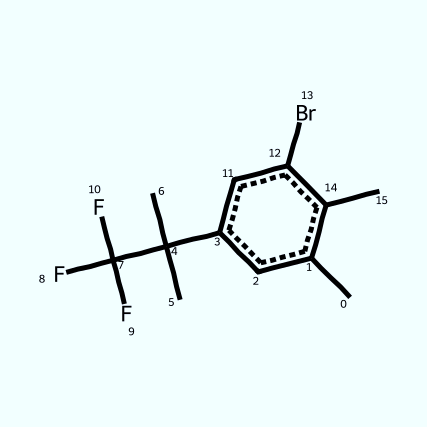 Cc1cc(C(C)(C)C(F)(F)F)cc(Br)c1C